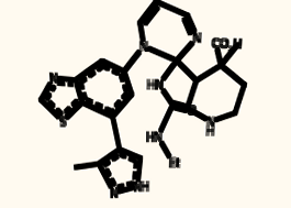 CCNC(=O)NC1(C2CNCCC2(C)C(=O)O)N=CC=CN1c1cc(-c2c[nH]nc2C)c2scnc2c1